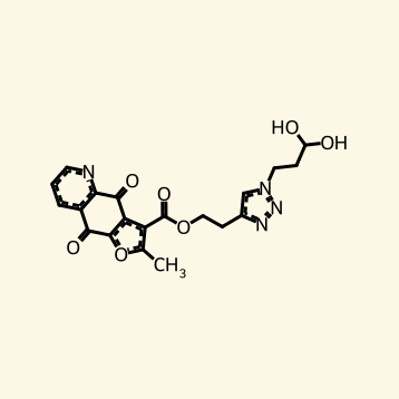 Cc1oc2c(c1C(=O)OCCc1cn(CCC(O)O)nn1)C(=O)c1ncccc1C2=O